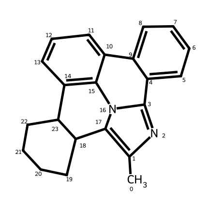 Cc1nc2c3ccccc3c3cccc4c3n2c1C1CCCCC41